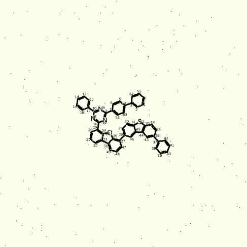 c1ccc(-c2ccc(-c3nc(-c4ccccc4)nc(-c4cccc5c4oc4c(-c6ccc7sc8ccc(-c9ccccc9)cc8c7c6)cccc45)n3)cc2)cc1